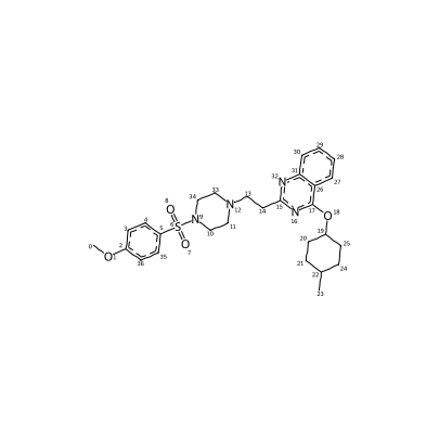 COc1ccc(S(=O)(=O)N2CCN(CCc3nc(OC4CCC(C)CC4)c4ccccc4n3)CC2)cc1